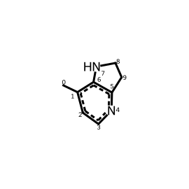 Cc1ccnc2c1NCC2